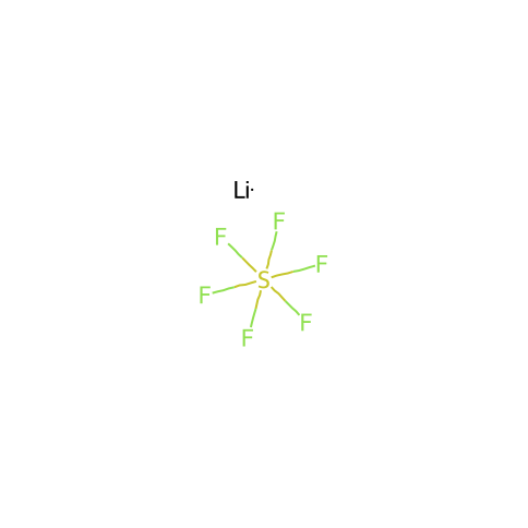 FS(F)(F)(F)(F)F.[Li]